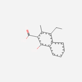 CCc1c(C)c(C(=O)O)c(O)c2ccccc12